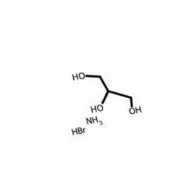 Br.N.OCC(O)CO